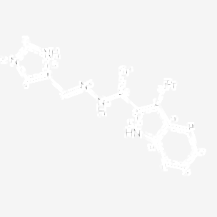 CC(C)c1c(C(=O)NN=Cc2cnc[nH]2)[nH]c2ccccc12